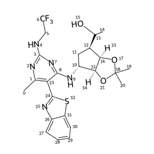 Cc1nc(NCC(F)(F)F)nc(N[C@@H]2C[C@@H](C(C)O)[C@H]3OC(C)(C)O[C@H]32)c1-c1nc2ccccc2s1